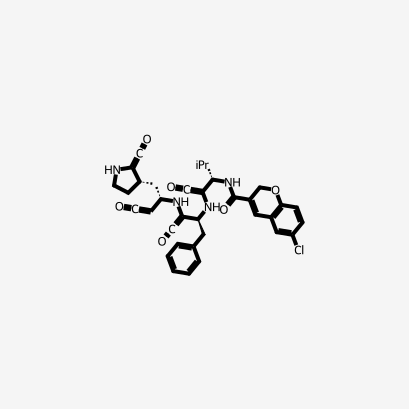 CC(C)[C@H](NC(=O)C1=Cc2cc(Cl)ccc2OC1)C(=C=O)N[C@@H](Cc1ccccc1)C(=C=O)N[C@H](C=C=O)C[C@@H]1CCNC1=C=O